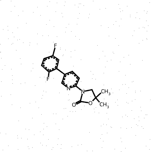 CC1(C)CN(c2ccc(-c3cc(F)ccc3F)cn2)C(=O)O1